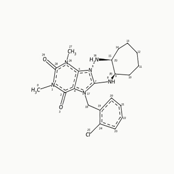 Cn1c(=O)c2c(nc(N[C@@H]3CCCCC[C@@H]3N)n2Cc2ccccc2Cl)n(C)c1=O